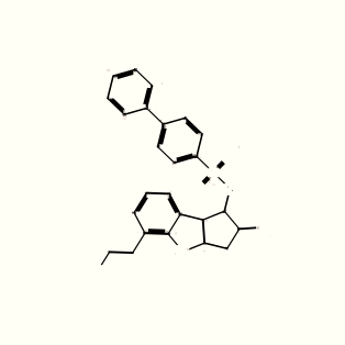 O=C(O)CCc1cccc2c1OC1CC(O)C(NS(=O)(=O)c3ccc(-c4ccccc4)cc3)C21